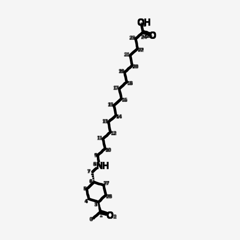 CC(=O)[C@H]1CC[C@H](CNCCCCCCCCCCCCCCCC(=O)O)CC1